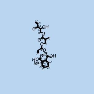 C=CC(=O)OCC(C)C(=O)OCC(O)C(=O)C=C.O=C(O)c1ccccc1C(=O)O.[MgH2]